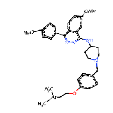 COc1ccc(-c2nnc(NC3CCN(Cc4ccc(OCC[As](C)C)cc4)CC3)c3cc(OC)ccc23)cc1